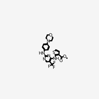 COC(=O)c1ccsc1Nc1nc(Nc2ccc(N3CCOCC3)cc2)ncc1C(F)(F)F